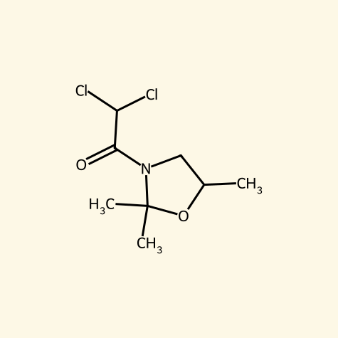 CC1CN(C(=O)C(Cl)Cl)C(C)(C)O1